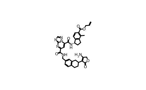 C=CCOC(=O)c1ccc2c(c1C)CC[C@@H]2NC(=O)c1cc(C(=O)NCc2ccc3c(c2)CC(C2=C(N)COC2=O)CC3)nc2ncnn12